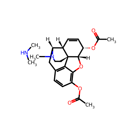 CC(=O)Oc1ccc2c3c1O[C@H]1[C@@H](OC(C)=O)C=C[C@H]4[C@@H](C2)N(C)CC[C@@]341.CNC